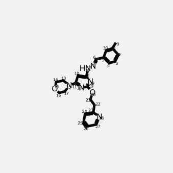 Cc1cccc(/C=N/Nc2cc(N3CCOCC3)nc(OCCc3cc#ccn3)n2)c1